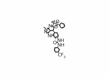 Cn1nc(N)c2c(-c3ccc(NC(=O)Nc4cccc(C(F)(F)F)c4)cc3)cc(C3(S(=O)(=O)c4ccccc4)CC3)nc21